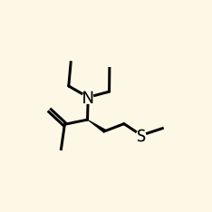 C=C(C)[C@H](CCSC)N(CC)CC